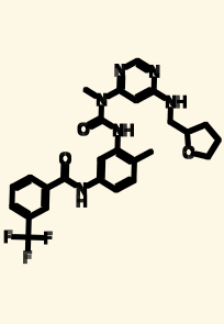 Cc1ccc(NC(=O)c2cccc(C(F)(F)F)c2)cc1NC(=O)N(C)c1cc(NCC2CCCO2)ncn1